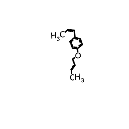 C/C=C\c1ccc(OC/C=C/C)cc1